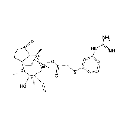 C=C[C@]1(C)C[C@@H](OC(=O)CSc2cccc(NC(=N)N)c2)[C@]2(C)C(C)CCC3(CCC(=O)C32)[C@@H](C)C1O